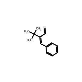 CC(C)(C)C(C=O)=Cc1ccccc1